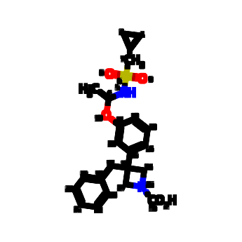 C1CC1.CC(NS(C)(=O)=O)Oc1cccc(C2(Cc3ccccc3)CN(C(=O)O)C2)c1